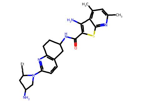 CCC1CC(N)CN1c1ccc2c(n1)CCC(NC(=O)c1sc3nc(C)cc(C)c3c1N)C2